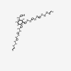 C=CCCCOCCOCCOc1ccc(CO)cc1OCCOCCOCCCC=C